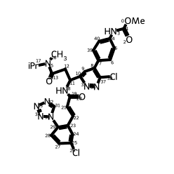 COC(=O)Nc1ccc(-c2cc(C(CC(=O)N(C)C(C)C)NC(=O)C=Cc3cc(Cl)ccc3-n3cnnn3)nnc2Cl)cc1